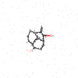 Bc1ccc2c(=O)c(=C)c3cccc1c32